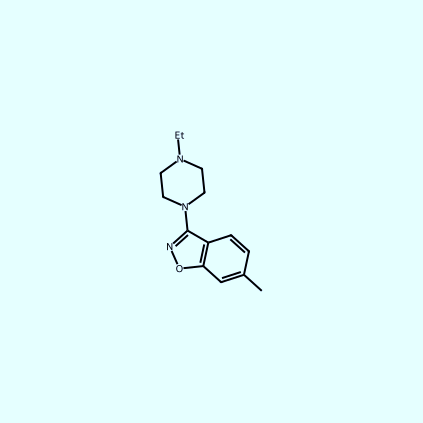 CCN1CCN(c2noc3cc(C)ccc23)CC1